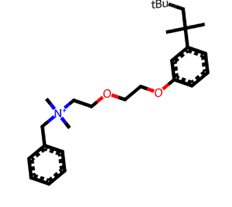 CC(C)(C)CC(C)(C)c1cccc(OCCOCC[N+](C)(C)Cc2ccccc2)c1